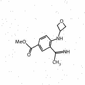 COC(=O)c1ccc(NC2COC2)c(C(C)=N)c1